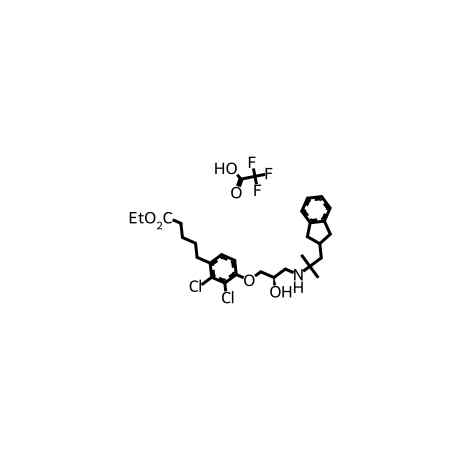 CCOC(=O)CCCCc1ccc(OC[C@H](O)CNC(C)(C)CC2Cc3ccccc3C2)c(Cl)c1Cl.O=C(O)C(F)(F)F